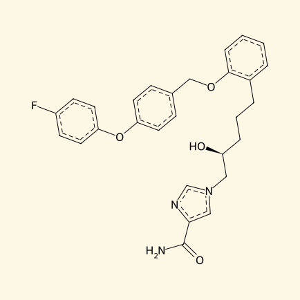 NC(=O)c1cn(C[C@@H](O)CCCc2ccccc2OCc2ccc(Oc3ccc(F)cc3)cc2)cn1